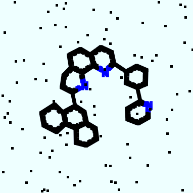 c1ccc(-c2cccc(-c3ccc4ccc5ccc(-c6cc7ccccc7c7ccccc67)nc5c4n3)c2)nc1